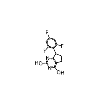 Oc1nc(O)c2c(n1)C(c1c(F)cc(F)cc1F)CC2